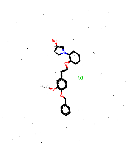 COc1cc(CCOC2CCCCC2N2CC[C@@H](O)C2)ccc1OCc1ccccc1.Cl